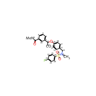 CNC(=O)c1cccc(C(Oc2ccc(CN(C)S(=O)(=O)c3ccc(F)cc3)cc2)C(=O)O)c1